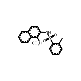 Cc1ccccc1S(=O)(=O)Nc1ccc2ccccc2c1C(=O)O